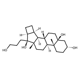 C[C@]12CC[C@H]3[C@@H](CC[C@]4(O)C[C@H](O)CC[C@]34C)[C@@H]1[C@@H]1CC[C@@H]1[C@@]2(O)CCCO